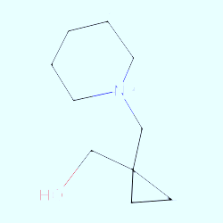 OCC1(CN2CCCCC2)CC1